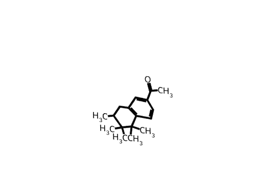 CC(=O)c1ccc2c(c1)CC(C)C(C)(C)C2(C)C